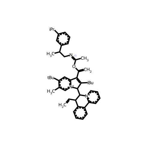 C=CC1c2ccccc2-c2cccc[n+]2C1C1C(C(C)CC)=C(C(=C)O/C(C)=N\CC(C)c2cccc(C(C)C)c2)c2cc(C(C)(C)C)c(C)c[n+]21